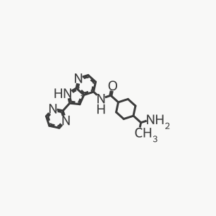 CC(N)C1CCC(C(=O)Nc2ccnc3[nH]c(-c4ncccn4)cc23)CC1